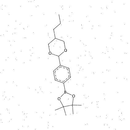 CCCC1COC(c2ccc(B3OC(C)(C)C(C)(C)O3)cc2)OC1